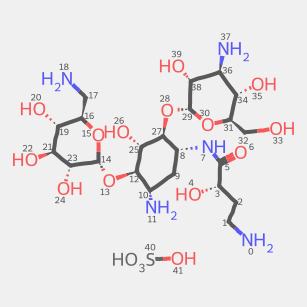 NCC[C@H](O)C(=O)N[C@@H]1C[C@H](N)[C@@H](O[C@H]2O[C@H](CN)[C@@H](O)[C@H](O)[C@H]2O)[C@H](O)[C@H]1O[C@H]1O[C@H](CO)[C@@H](O)[C@H](N)[C@H]1O.O=S(=O)(O)O